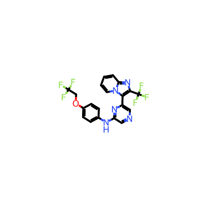 FC(F)(F)COc1ccc(Nc2cncc(-c3c(C(F)(F)F)nc4ccccn34)n2)cc1